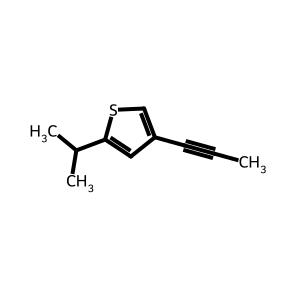 CC#Cc1csc(C(C)C)c1